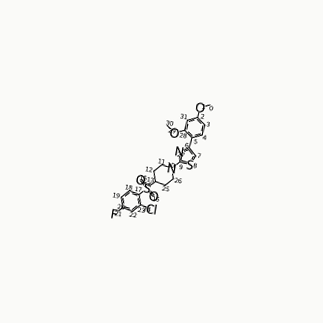 COc1ccc(-c2csc(N3CCC(S(=O)(=O)c4ccc(F)cc4Cl)CC3)n2)c(OC)c1